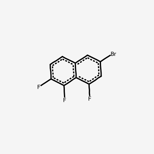 Fc1ccc2cc(Br)cc(F)c2c1F